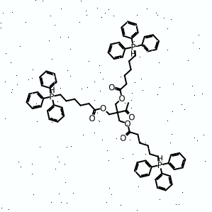 CC(=O)C(COC(=O)CCCCC[PH](c1ccccc1)(c1ccccc1)c1ccccc1)(COC(=O)CCCCC[PH](c1ccccc1)(c1ccccc1)c1ccccc1)COC(=O)CCCCC[PH](c1ccccc1)(c1ccccc1)c1ccccc1